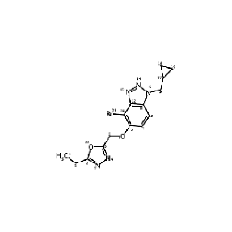 CCc1nnc(COc2ccc3c(nnn3CC3CC3)c2Br)o1